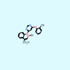 CCO/C=C(/C(=O)O)c1ccccc1Oc1cc(Oc2ccccc2C#N)ncn1